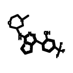 CN1CCOCC(Nc2nnc(-c3ccc(C(F)(F)F)cc3O)c3cccn23)C1